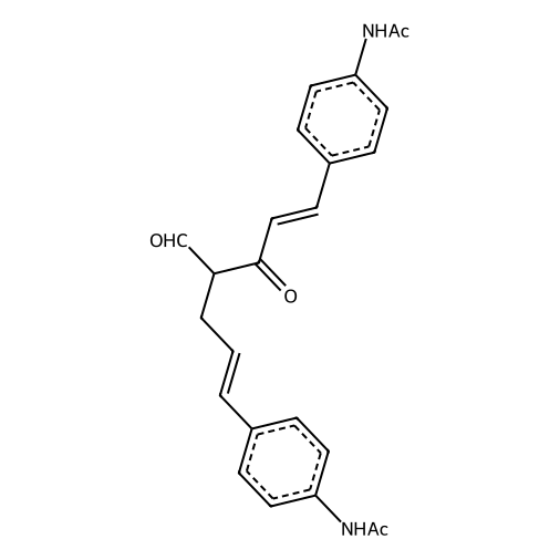 CC(=O)Nc1ccc(/C=C/CC(C=O)C(=O)/C=C/c2ccc(NC(C)=O)cc2)cc1